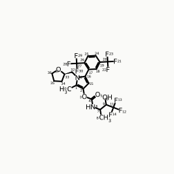 Cc1c(OC(=O)NC(C)C(O)C(F)(F)F)cc(-c2cc(C(F)(F)F)ccc2C(F)(F)F)n1C[C@H]1CCCO1